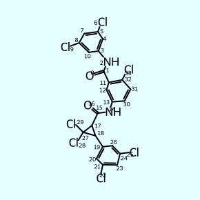 O=C(Nc1cc(Cl)cc(Cl)c1)c1cc(NC(=O)C2C(c3cc(Cl)cc(Cl)c3)C2(Cl)Cl)ccc1Cl